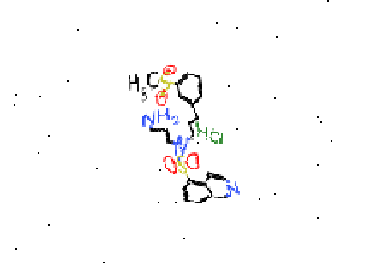 CS(=O)(=O)c1cccc(CCCN(CCCN)S(=O)(=O)c2cccc3cnccc23)c1.Cl